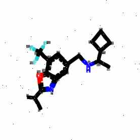 CC(C)c1nc2cc(CNC(C)C3CCC3)cc(C(F)(F)F)c2o1